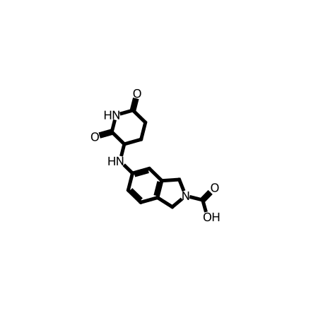 O=C1CCC(Nc2ccc3c(c2)CN(C(=O)O)C3)C(=O)N1